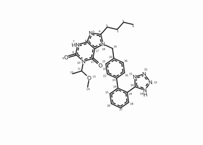 CCCCc1nc2[nH]c(=O)n(C(C)OC)c(=O)c2n1Cc1ccc(-c2ccccc2-c2nnn[nH]2)cc1